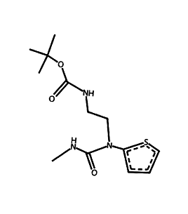 CNC(=O)N(CCNC(=O)OC(C)(C)C)c1cccs1